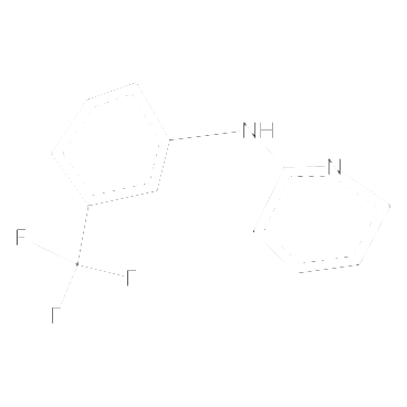 FC(F)(F)c1cccc(Nc2[c]cccn2)c1